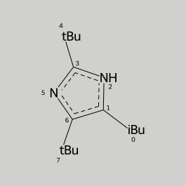 CCC(C)c1[nH]c(C(C)(C)C)nc1C(C)(C)C